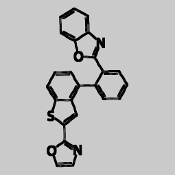 c1ccc(-c2cccc3sc(-c4ncco4)cc23)c(-c2nc3ccccc3o2)c1